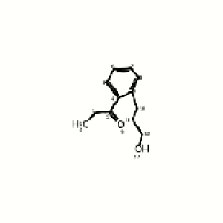 CCC(=O)c1ccccc1CCCO